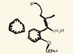 CCCCOc1ccccc1/C(C(=O)O)=C(/C)CCBr.c1ccccc1